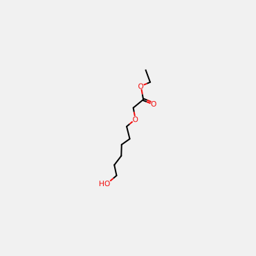 CCOC(=O)COCCCCCCO